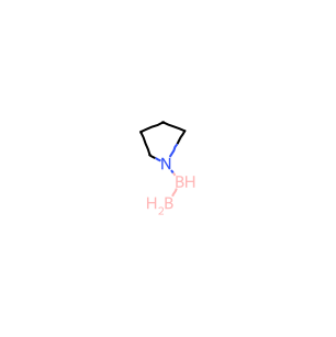 BBN1CCCC1